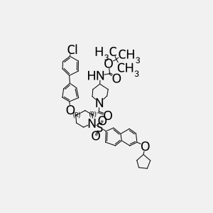 CC(C)(C)OC(=O)NC1CCN(C(=O)[C@H]2C[C@H](Oc3ccc(-c4ccc(Cl)cc4)cc3)CCN2S(=O)(=O)c2ccc3cc(OC4CCCC4)ccc3c2)CC1